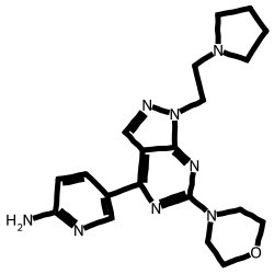 Nc1ccc(-c2nc(N3CCOCC3)nc3c2cnn3CCN2CCCC2)cn1